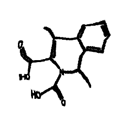 CC1=C(C(=O)O)N(C(=O)O)C(C)c2ccccc21